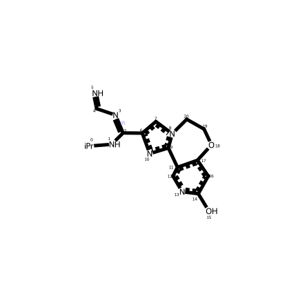 CC(C)N/C(=N\C=N)c1cn2c(n1)-c1cnc(O)cc1OCC2